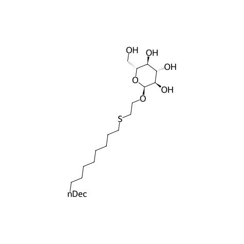 CCCCCCCCCCCCCCCCCCSCCO[C@H]1O[C@H](CO)[C@@H](O)[C@H](O)[C@H]1O